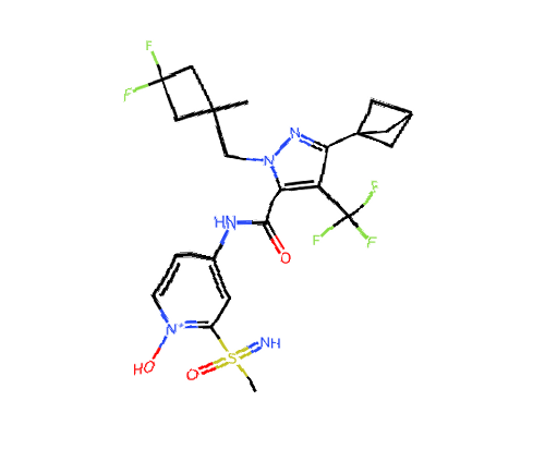 CC1(Cn2nc(C34CC(C3)C4)c(C(F)(F)F)c2C(=O)Nc2cc[n+](O)c(S(C)(=N)=O)c2)CC(F)(F)C1